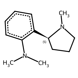 CN(C)c1ccccc1[C@@H]1CCCN1C